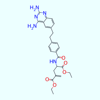 C=C(CC(NC(=O)c1ccc(CCc2ccc3nc(N)nc(N)c3c2)cc1)C(=O)OCC)C(=O)OCC